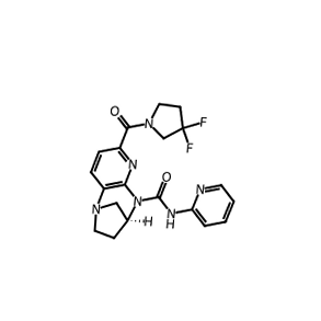 O=C(c1ccc2c(n1)N(C(=O)Nc1ccccn1)[C@H]1CCN2C1)N1CCC(F)(F)C1